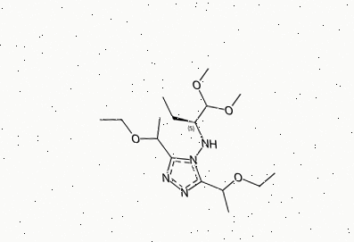 CCOC(C)c1nnc(C(C)OCC)n1N[C@@H](CC)C(OC)OC